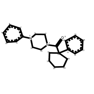 O=C(N1CCN(c2ccccc2)CC1)C1(c2ccccc2)CCCCC1